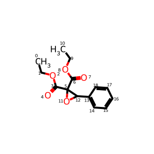 CCOC(=O)C1(C(=O)OCC)OC1c1ccccc1